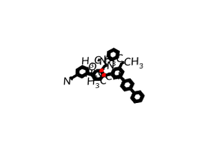 Cc1ccc2c(oc3ccc(C#N)cc32)c1-c1n(-c2c(C(C)C)cc(-c3ccc(-c4ccccc4)cc3)cc2C(C)C)c2ccccc2[n+]1C